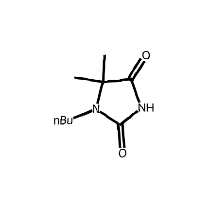 CCCCN1C(=O)NC(=O)C1(C)C